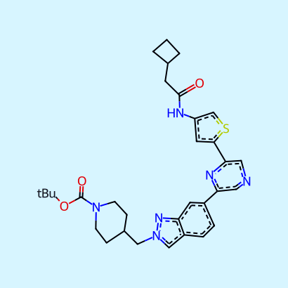 CC(C)(C)OC(=O)N1CCC(Cn2cc3ccc(-c4cncc(-c5cc(NC(=O)CC6CCC6)cs5)n4)cc3n2)CC1